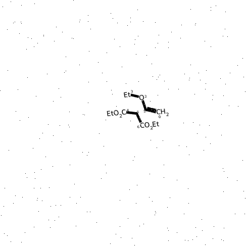 C=COCC.CCOC(=O)CC(=O)OCC